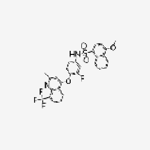 COc1ccc(S(=O)(=O)Nc2ccc(Oc3cc(C)nc4c(C(F)(F)F)cccc34)c(F)c2)c2ccccc12